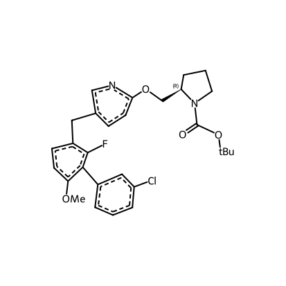 COc1ccc(Cc2ccc(OC[C@H]3CCCN3C(=O)OC(C)(C)C)nc2)c(F)c1-c1cccc(Cl)c1